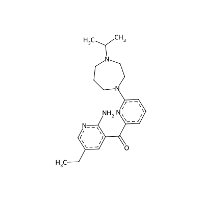 CCc1cnc(N)c(C(=O)c2cccc(N3CCCN(C(C)C)CC3)n2)c1